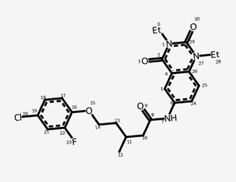 CCn1c(=O)c2cc(NC(=O)CC(C)CCOc3ccc(Cl)cc3F)ccc2n(CC)c1=O